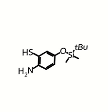 CC(C)(C)[Si](C)(C)Oc1ccc(N)c(S)c1